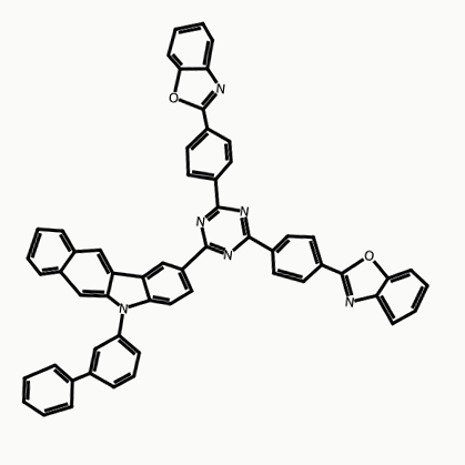 c1ccc(-c2cccc(-n3c4ccc(-c5nc(-c6ccc(-c7nc8ccccc8o7)cc6)nc(-c6ccc(-c7nc8ccccc8o7)cc6)n5)cc4c4cc5ccccc5cc43)c2)cc1